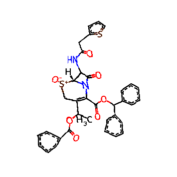 CC(OC(=O)c1ccccc1)C1=C(C(=O)OC(c2ccccc2)c2ccccc2)N2C(=O)C(NC(=O)Cc3cccs3)[C@H]2[S+]([O-])C1